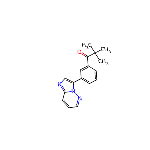 CC(C)(C)C(=O)c1cccc(-c2cnc3cccnn23)c1